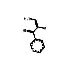 N=C(/C(Br)=C\N)c1cccnc1